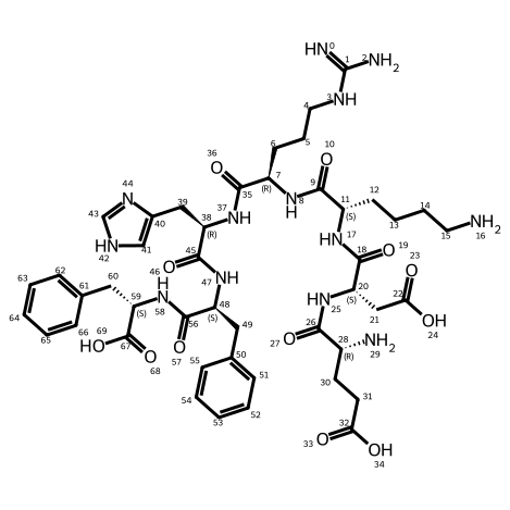 N=C(N)NCCC[C@@H](NC(=O)[C@H](CCCCN)NC(=O)[C@H](CC(=O)O)NC(=O)[C@H](N)CCC(=O)O)C(=O)N[C@H](Cc1c[nH]cn1)C(=O)N[C@@H](Cc1ccccc1)C(=O)N[C@@H](Cc1ccccc1)C(=O)O